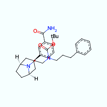 CC(C)(C)OC(=O)N(CCCc1ccccc1)CCN1[C@@H]2CC[C@H]1C[C@@H](c1cccc(C(N)=O)c1)C2